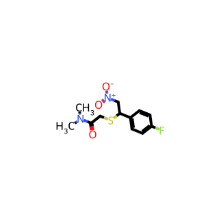 CN(C)C(=O)CSC(C[N+](=O)[O-])c1ccc(F)cc1